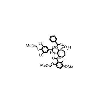 CCc1cc(C(=O)N[C@H]2C(OC(=O)c3ccccc3)N(C(=O)O)CCC[C@H]2C(=O)c2c(OCOC)ccc(OC)c2F)cc(CC)c1OCOC